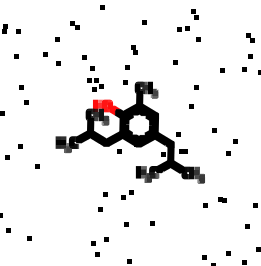 Cc1cc(CC(C)C)cc(CC(C)C)c1O